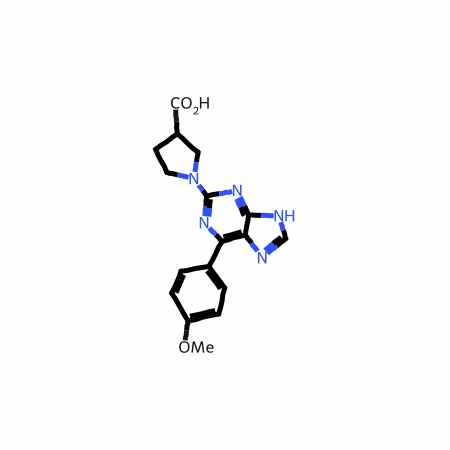 COc1ccc(-c2nc(N3CCC(C(=O)O)C3)nc3[nH]cnc23)cc1